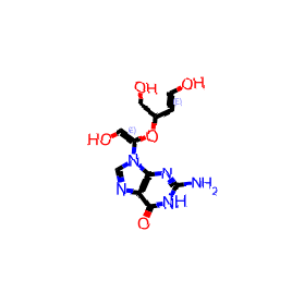 Nc1nc2c(ncn2/C(=C\O)OC(/C=C/O)CO)c(=O)[nH]1